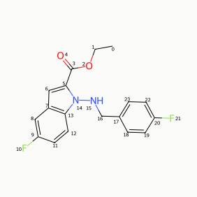 CCOC(=O)c1cc2cc(F)ccc2n1NCc1ccc(F)cc1